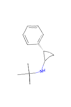 CC(C)(C)NC1C[C@H]1c1ccccc1